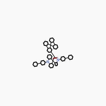 c1ccc(-c2ccc(N3c4ccccc4C4(c5ccccc53)c3ccccc3N(c3ccc(-c5ccccc5)cc3)c3ccc(-c5ccc6c(c5)C5(c7ccccc7-c7ccccc75)c5ccccc5-6)cc34)cc2)cc1